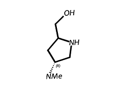 CN[C@H]1CNC(CO)C1